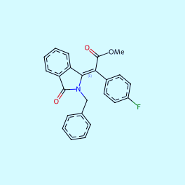 COC(=O)/C(=C1\c2ccccc2C(=O)N1Cc1ccccc1)c1ccc(F)cc1